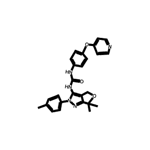 Cc1ccc(-n2nc3c(c2NC(=O)Nc2ccc(Oc4ccncc4)cc2)COC3(C)C)cc1